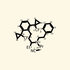 CC#N.CCC(CCc1c(C2(C(F)(F)F)CC2)cccc1C1(C(F)(F)F)CC1)N(CCc1ccccc1)C(C)C